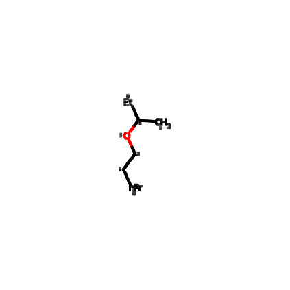 CCCCCO[C](C)CC